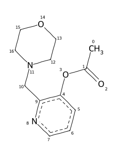 CC(=O)Oc1cccnc1CN1CCOCC1